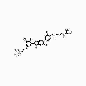 C[C@H](N)CCCc1cc(Cl)c(F)c(-c2cc3cn(-c4ccc(CNCCCNC(=N)CF)c(F)c4)c(=O)nc3[nH]2)c1